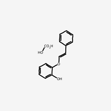 O=C(O)O.Oc1ccccc1OC=Cc1ccccc1